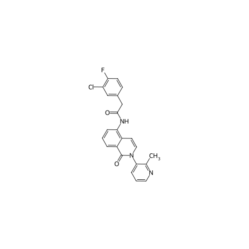 Cc1ncccc1-n1ccc2c(NC(=O)Cc3ccc(F)c(Cl)c3)cccc2c1=O